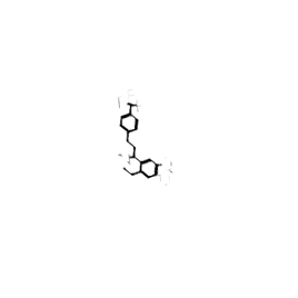 CN1CCc2cc3c(cc2C1CCc1ccc(C(F)(F)F)cc1)OCO3